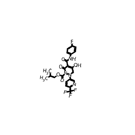 CC(C)COC(=O)N1C(=O)C(C(=O)Nc2ccc(F)cc2)=C(O)CN1c1ccc(C(F)(F)F)nc1